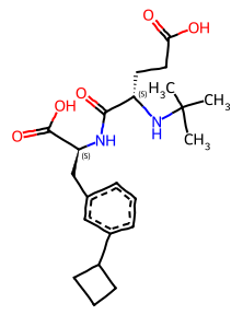 CC(C)(C)N[C@@H](CCC(=O)O)C(=O)N[C@@H](Cc1cccc(C2CCC2)c1)C(=O)O